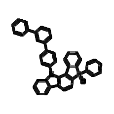 O=P1(c2ccccc2)c2ccccc2-c2c1ccc1c3ccccc3n(-c3ccc(-c4cccc(-c5ccccc5)c4)cc3)c21